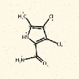 Cc1[nH]c(C(N)=O)c(Cl)c1Cl